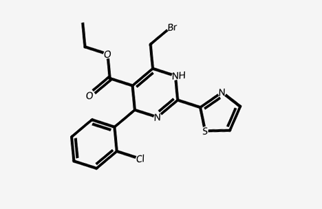 CCOC(=O)C1=C(CBr)NC(c2nccs2)=NC1c1ccccc1Cl